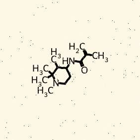 C=C(C)C(=O)NC1CCN(C)C(C)(C)C1C